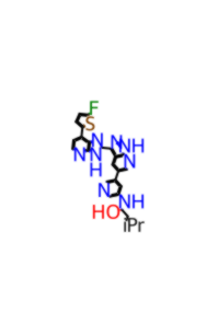 CC(C)CC(O)Nc1cncc(-c2cnc3[nH]nc(-c4nc5c(-c6ccc(F)s6)ccnc5[nH]4)c3c2)c1